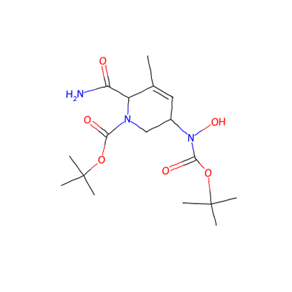 CC1=CC(N(O)C(=O)OC(C)(C)C)CN(C(=O)OC(C)(C)C)C1C(N)=O